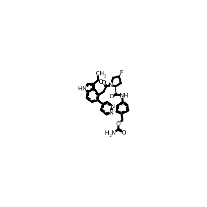 CC(=O)c1c[nH]c2ccc(-c3ccnnc3)c(CC(=O)N3C[C@H](F)C[C@H]3C(=O)Nc3ccc(COC(N)=O)cc3)c12